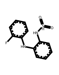 O=[SH](=O)Nc1ccccc1Nc1ccccc1F